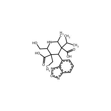 CCC1(C(=O)O)C(CO)NC(C)C(C(=O)O)(C(C)C)C1c1cccc2nonc12